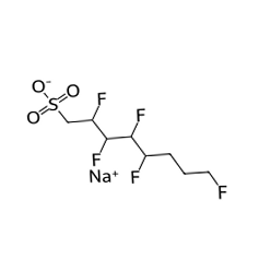 O=S(=O)([O-])CC(F)C(F)C(F)C(F)CCCF.[Na+]